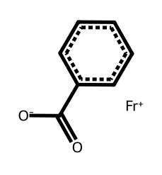 O=C([O-])c1ccccc1.[Fr+]